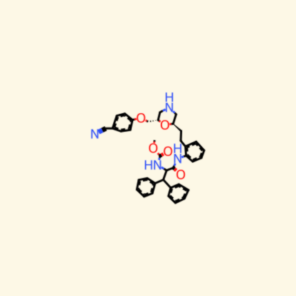 COC(=O)NC(C(=O)Nc1ccccc1CC[C@@H]1CNC[C@@H](COc2ccc(C#N)cc2)O1)C(c1ccccc1)c1ccccc1